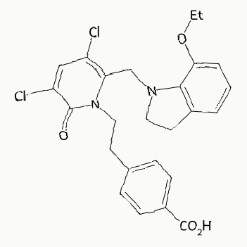 CCOc1cccc2c1N(Cc1c(Cl)cc(Cl)c(=O)n1CCc1ccc(C(=O)O)cc1)CC2